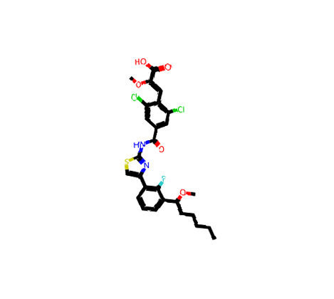 CCCCCC(OC)c1cccc(-c2csc(NC(=O)c3cc(Cl)c(C=C(OC)C(=O)O)c(Cl)c3)n2)c1F